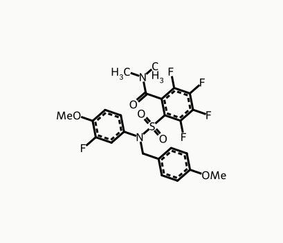 COc1ccc(CN(c2ccc(OC)c(F)c2)S(=O)(=O)c2c(F)c(F)c(F)c(F)c2C(=O)N(C)C)cc1